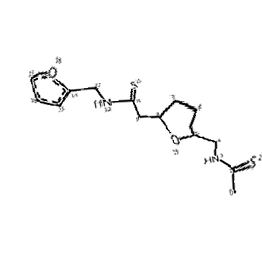 CC(=S)NCC1CCC(CC(=S)NCc2ccco2)O1